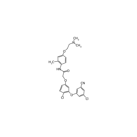 Cc1cc(OCCN(C)C)ccc1NC(=O)COc1ccc(Cl)c(Oc2cc(Cl)cc(C#N)c2)c1